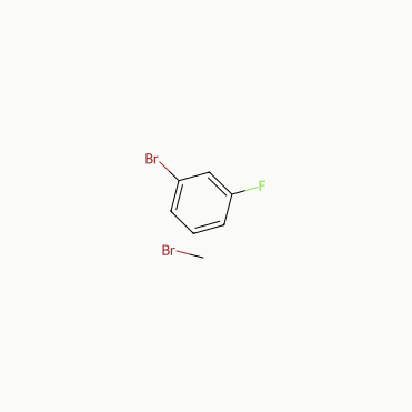 CBr.Fc1cccc(Br)c1